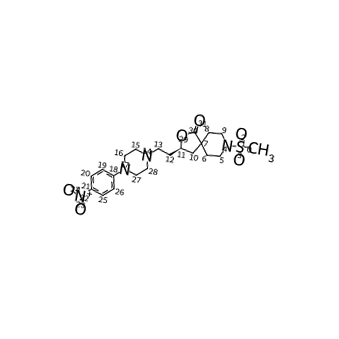 CS(=O)(=O)N1CCC2(CC1)C[C@@H](CCN1CCN(c3ccc([N+](=O)[O-])cc3)CC1)OC2=O